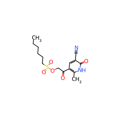 CCCCCCS(=O)(=O)OCC(=O)c1cc(C#N)c(=O)[nH]c1C